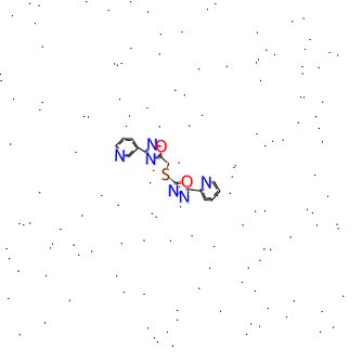 c1ccc(-c2nnc(SCc3nc(-c4cccnc4)no3)o2)nc1